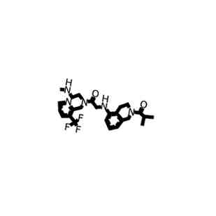 CNCCN(Cc1ncccc1C(F)(F)F)C(=O)CNc1cccc2c1CCN(C(=O)C(C)C)C2